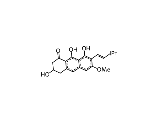 COc1cc2cc3c(c(O)c2c(O)c1C=CC(C)C)C(=O)CC(O)C3